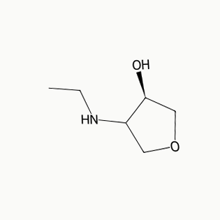 CCNC1COC[C@@H]1O